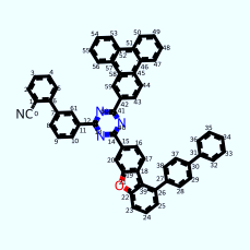 N#Cc1ccccc1-c1cccc(-c2nc(-c3ccc4c(c3)oc3cccc(-c5ccc(-c6ccccc6)cc5)c34)nc(-c3ccc4c5ccccc5c5ccccc5c4c3)n2)c1